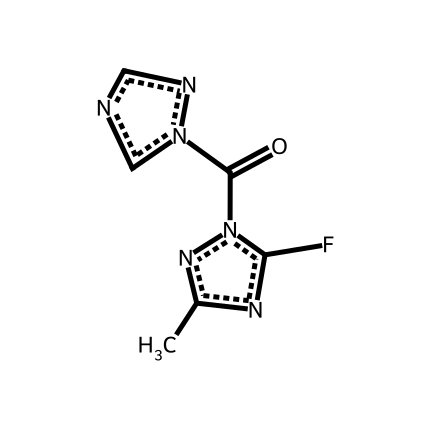 Cc1nc(F)n(C(=O)n2cncn2)n1